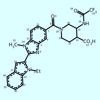 CCn1c(-c2nc3cc(C(=O)N4CCC(C(=O)O)C(NC(=O)C(F)(F)F)C4)ccc3n2C)cc2ccccc21